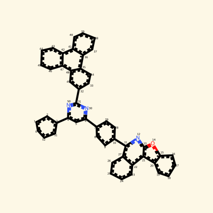 c1ccc(-c2cc(-c3ccc(-c4nc5oc6ccccc6c5c5ccccc45)cc3)nc(-c3ccc4c5ccccc5c5ccccc5c4c3)n2)cc1